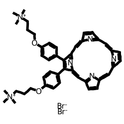 C[N+](C)(C)CCCOc1ccc(C2=C(c3ccc(OCCC[N+](C)(C)C)cc3)C3=NC2=CC2=NC(=CC4=NC(=CC5=NC(=C3)C=C5)C=C4)C=C2)cc1.[Br-].[Br-]